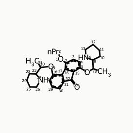 CCCOc1ccc(OC(C)C2CCCCN2)c2c1-c1c(OC(C)C3CCCCN3)cccc1C2=O